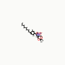 CCCCCCCCc1ccc(/C=C/C2([N+](=O)[O-])COC(C)(C)OC2)cc1